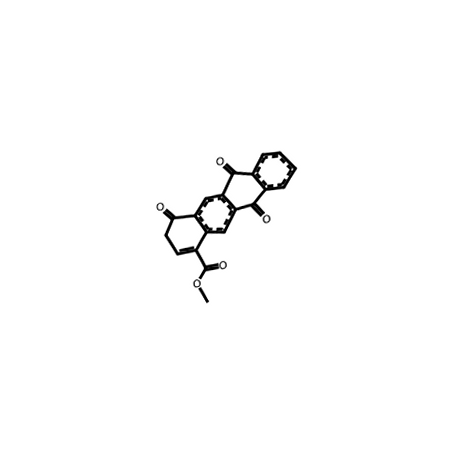 COC(=O)C1=CCC(=O)c2cc3c(cc21)C(=O)c1ccccc1C3=O